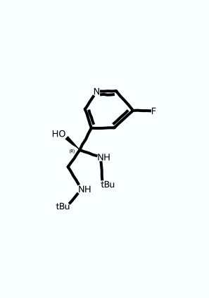 CC(C)(C)NC[C@@](O)(NC(C)(C)C)c1cncc(F)c1